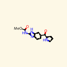 COC(=O)Nc1nc2ccc(C(=O)c3ccc[nH]3)cc2[nH]1